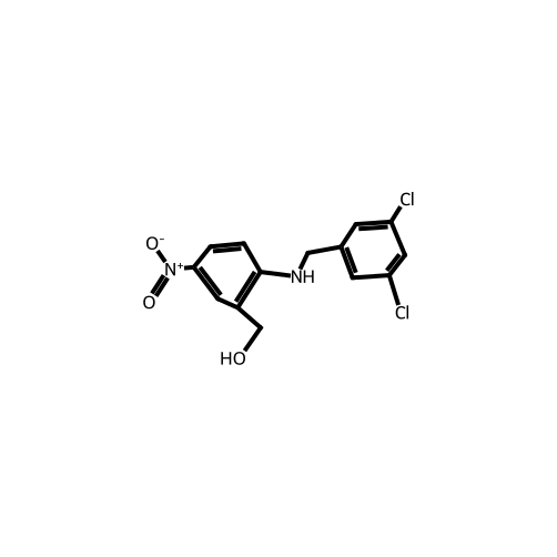 O=[N+]([O-])c1ccc(NCc2cc(Cl)cc(Cl)c2)c(CO)c1